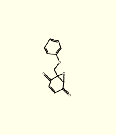 O=C1C=CC(=O)C2(COc3ccccc3)OC12